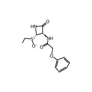 CC[S+]([O-])[C@@H]1NC(=O)[C@H]1NC(=O)COc1ccccc1